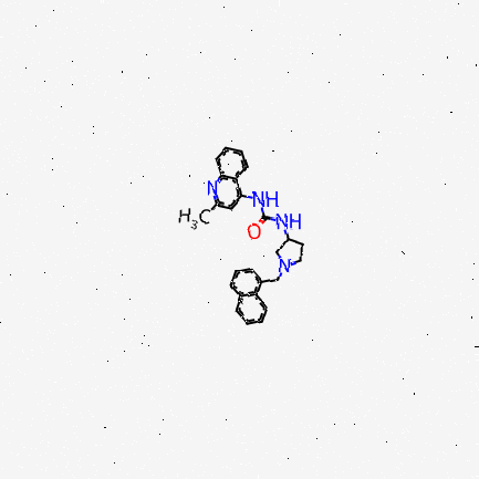 Cc1cc(NC(=O)NC2CCN(Cc3cccc4ccccc34)C2)c2ccccc2n1